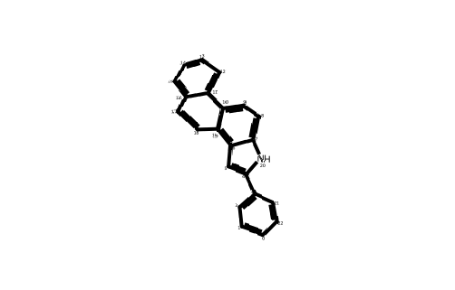 c1ccc(-c2cc3c(ccc4c5ccccc5ccc34)[nH]2)cc1